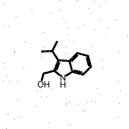 CC(C)c1c(CO)[nH]c2ccccc12